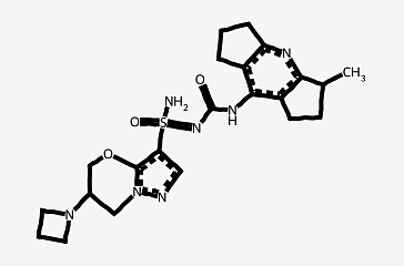 CC1CCc2c1nc1c(c2NC(=O)N=S(N)(=O)c2cnn3c2OCC(N2CCC2)C3)CCC1